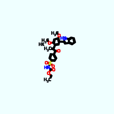 C=C(C(=O)c1ccc(S(=O)(=O)NC(=O)OCC)cc1)c1cc(-c2cc3ccccc3[nH]2)c(OC)cc1OC.[KH]